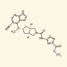 COC(=O)c1nsc(NC(=O)N2C[C@H]3C[C@H](N(C)c4c(C#N)cnc5[nH]ccc45)C[C@H]3C2)n1